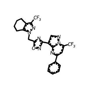 FC(F)(F)c1nn(Cc2nc(-c3cnn4c(C(F)(F)F)cc(-c5ccccc5)nc34)no2)c2c1CCCC2